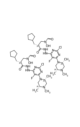 C[C@@H]1CN(c2nc(Cl)nc(NNC(=O)[C@H](CC3CCCC3)CN(O)C=O)c2F)[C@H](C)CN1C.C[C@@H]1CN(c2nc(Cl)nc(NNC(=O)[C@H](CC3CCCC3)CN(O)C=O)c2F)[C@H](C)CN1C